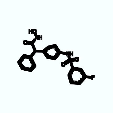 O=C(NO)C(c1ccccc1)c1ccc(NS(=O)(=O)c2cccc(F)c2)cc1